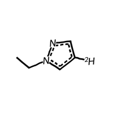 [2H]c1cnn(CC)c1